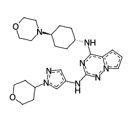 c1cc2c(N[C@H]3CC[C@H](N4CCOCC4)CC3)nc(Nc3cnn(C4CCOCC4)c3)nn2c1